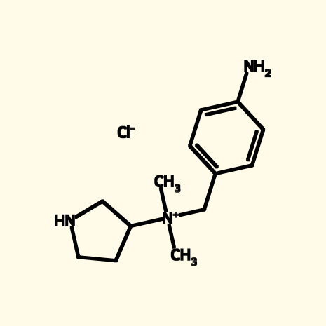 C[N+](C)(Cc1ccc(N)cc1)C1CCNC1.[Cl-]